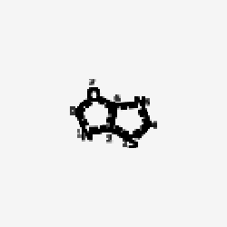 c1nc2scnc2o1